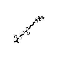 C=C(C)C(=O)OCCNC(=O)OCCCCOOC(C)(C)Br